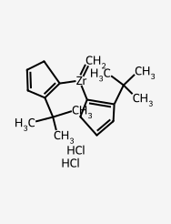 Cl.Cl.[CH2]=[Zr]([C]1=C(C(C)(C)C)C=CC1)[C]1=C(C(C)(C)C)C=CC1